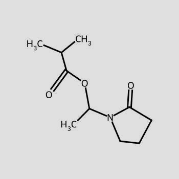 CC(C)C(=O)OC(C)N1CCCC1=O